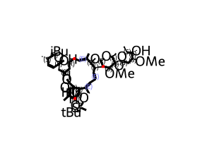 CCC(C)[C@H]1O[C@]2(C=C[C@@H]1C)C[C@@H]1C[C@@H](C/C=C(\C)[C@@H](O[C@H]3C[C@H](OC)[C@@H](O[C@H]4C[C@H](OC)[C@@H](O)[C@H](C)O4)[C@H](C)O3)[C@@H](C)/C=C/C=C3\CO[C@@H]4[C@H](O[Si](C)(C)C(C)(C)C)C(C)=C[C@@H](C(=O)O1)[C@]34O)O2